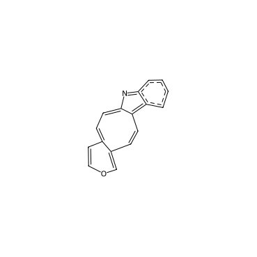 C1=CC2=CC=C3N=c4ccccc4=C3C=CC2=CO1